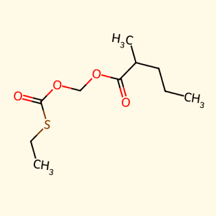 CCCC(C)C(=O)OCOC(=O)SCC